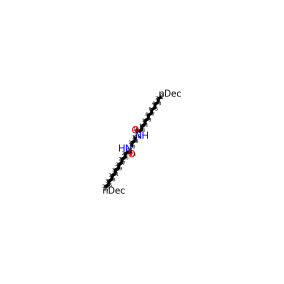 CCCCCCCCCCCCCCCCCCCCCCCC(=O)NCCCCNC(=O)CCCCCCCCCCCCCCCCCCCCCCC